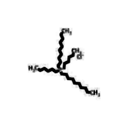 CCCCCCCCCC[P+](CCCCCC)(CCCCCC)CCCCCCCCCC.[Cl-]